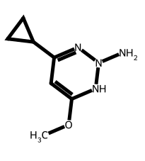 COC1=CC(C2CC2)=NN(N)N1